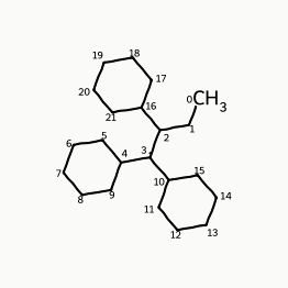 CCC([C](C1CCCCC1)C1CCCCC1)C1CCCCC1